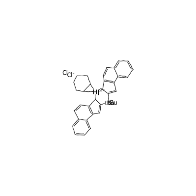 CC(C)(C)C1=Cc2c(ccc3ccccc23)[CH]1[Hf+2]1([CH]2C(C(C)(C)C)=Cc3c2ccc2ccccc32)[CH]2CCCC[CH]21.[Cl-].[Cl-]